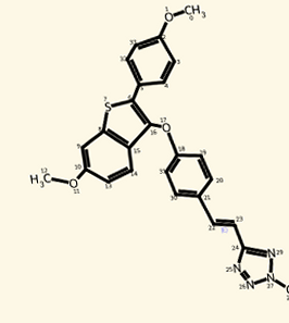 COc1ccc(-c2sc3cc(OC)ccc3c2Oc2ccc(/C=C/c3nnn(C)n3)cc2)cc1